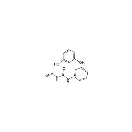 O=CNC(=O)Nc1ccccc1.Oc1cccc(O)c1